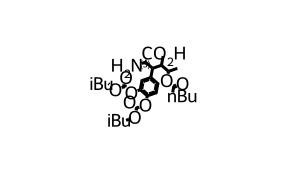 CCCCC(=O)OC(C)C(C)C(c1ccc(OC(=O)OC(C)CC)c(OC(=O)OC(C)CC)c1)[C@H](N)C(=O)O